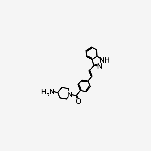 NC1CCN(C(=O)c2ccc(/C=C/c3n[nH]c4ccccc34)cc2)CC1